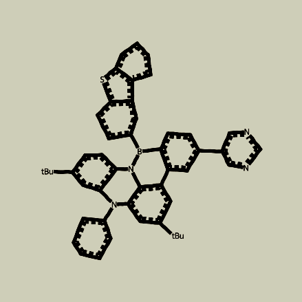 CC(C)(C)c1ccc2c(c1)N(c1ccccc1)c1cc(C(C)(C)C)cc3c1N2B(c1ccc2sc4ccccc4c2c1)c1ccc(-c2cncnc2)cc1-3